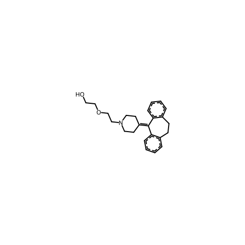 OCCOCCN1CCC(=C2c3ccccc3CCc3ccccc32)CC1